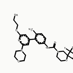 Cc1ccc(NC(=O)N2CCOC3(CCC3(F)F)C2)cc1-c1cc(OCCO)nc(N2CCOCC2)c1